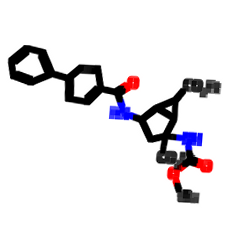 CCOC(=O)C1C2C(NC(=O)c3ccc(-c4ccccc4)cc3)CC(NC(=O)OC(C)(C)C)(C(=O)OCC)C12